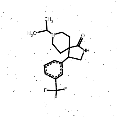 CC(C)N1CCC2(CC1)C(=O)NCC2c1cccc(C(F)(F)F)c1